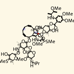 C=C(Nc1cc(OC)c(OC)cc1C(=O)O[C@H]1CC(O[C@@H]2C(=O)C(NC(=O)OC)=C3/C(=C\CSSSC)[C@]2(O)C#C/C=C\C#C[C@@H]3O[C@@H]2O[C@@H](C)[C@@H](NO[C@H]3C[C@H](O)[C@H](SC)[C@@H](C)O3)[C@H](O)[C@H]2O[C@H]2C[C@H](OC)[C@@H](NC(C)C)CO2)O[C@@H](C)[C@@H]1O)C(=C)OC